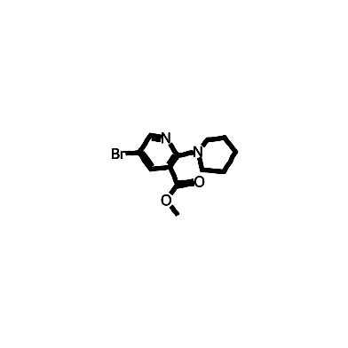 COC(=O)c1cc(Br)cnc1N1CCCCC1